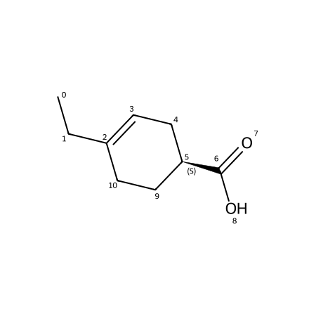 CCC1=CC[C@@H](C(=O)O)CC1